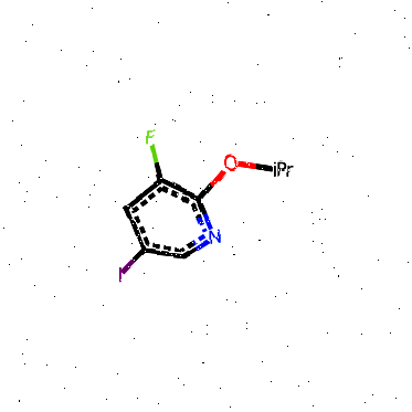 CC(C)Oc1ncc(I)cc1F